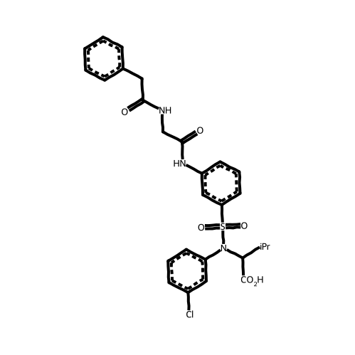 CC(C)C(C(=O)O)N(c1cccc(Cl)c1)S(=O)(=O)c1cccc(NC(=O)CNC(=O)Cc2ccccc2)c1